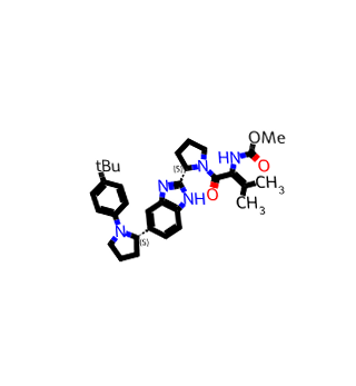 COC(=O)NC(C(=O)N1CCC[C@H]1c1nc2cc([C@@H]3CCCN3c3ccc(C(C)(C)C)cc3)ccc2[nH]1)=C(C)C